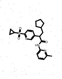 Cc1cccc(NC(=O)C(CC2CCCC2)c2ccc(S(=O)(=O)C3CC3)nc2)n1